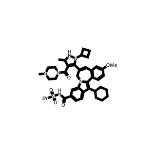 COc1ccc2c(c1)C=C(C1=C(C(=O)N3CCN(C)CC3)C(C)NN1C1CCC1)Cn1c-2c(C2CCCCC2)c2ccc(C(=O)NS(=O)(=O)C(C)C)cc21